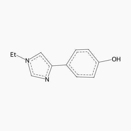 CCn1cnc(-c2ccc(O)cc2)c1